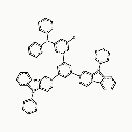 Brc1cc(-c2cc(-c3ccc4c(c3)c3ccccc3n4-c3ccccc3)cc(-c3ccc4c5ccccc5n(-c5ccccc5)c4c3)c2)cc(N(c2ccccc2)c2ccccc2)c1